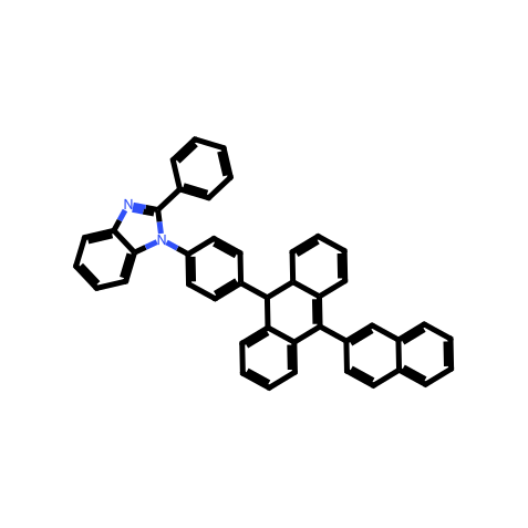 C1=CC2=C(c3ccc4ccccc4c3)c3ccccc3C(c3ccc(-n4c(-c5ccccc5)nc5ccccc54)cc3)C2C=C1